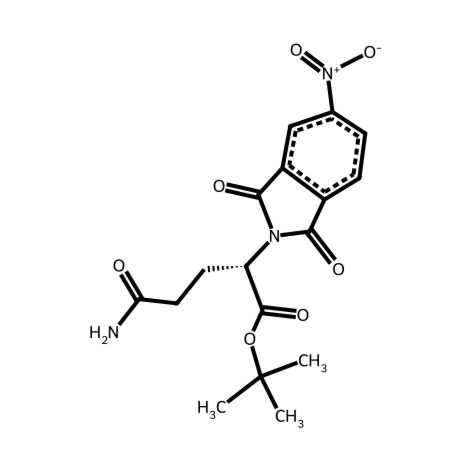 CC(C)(C)OC(=O)[C@H](CCC(N)=O)N1C(=O)c2ccc([N+](=O)[O-])cc2C1=O